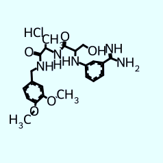 COc1ccc(CNC(=O)C(C)NC(=O)C(CO)Nc2cccc(C(=N)N)c2)cc1OC.Cl